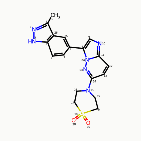 Cc1n[nH]c2ccc(-c3cnc4ccc(N5CCS(=O)(=O)CC5)nn34)cc12